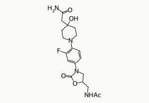 CC(=O)NCC1CN(c2ccc(N3CCC(O)(CC(N)=O)CC3)c(F)c2)C(=O)O1